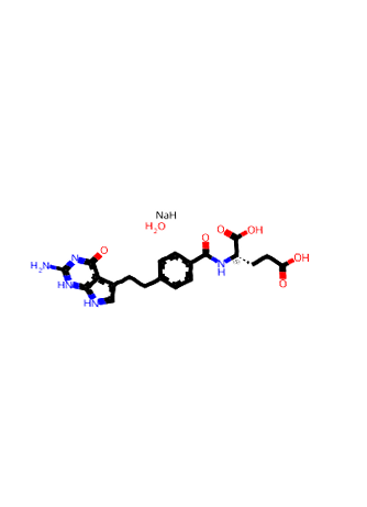 Nc1nc(=O)c2c(CCc3ccc(C(=O)N[C@@H](CCC(=O)O)C(=O)O)cc3)c[nH]c2[nH]1.O.[NaH]